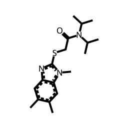 Cc1cc2nc(SCC(=O)N(C(C)C)C(C)C)n(C)c2cc1C